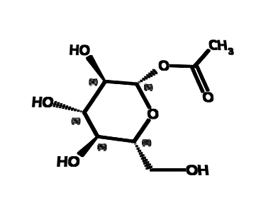 CC(=O)O[C@@H]1O[C@H](CO)[C@@H](O)[C@H](O)[C@H]1O